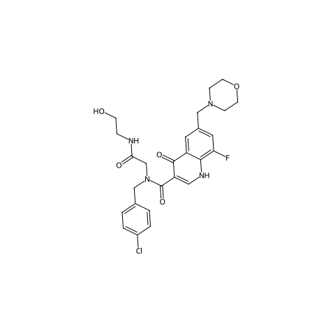 O=C(CN(Cc1ccc(Cl)cc1)C(=O)c1c[nH]c2c(F)cc(CN3CCOCC3)cc2c1=O)NCCO